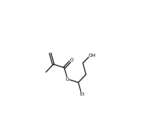 C=C(C)C(=O)OC(CC)CCO